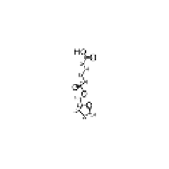 O=C(O)CCCCC(=O)OCC1CCCO1